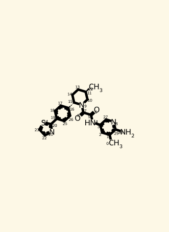 Cc1cc(NC(=O)C(=O)N2C[C@H](C)CC[C@H]2c2ccc(-c3nccs3)cc2)cnc1N